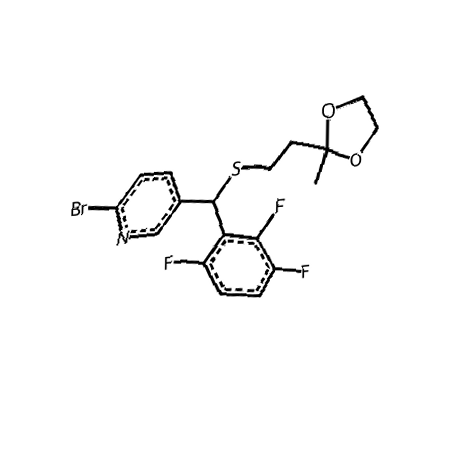 CC1(CCSC(c2ccc(Br)nc2)c2c(F)ccc(F)c2F)OCCO1